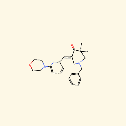 CC1(C)CN(Cc2ccccc2)C/C(=C\c2cccc(N3CCOCC3)n2)C1=O